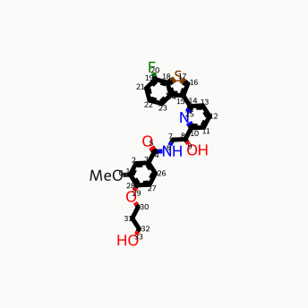 COc1cc(C(=O)NCC(O)c2cccc(-c3csc4c(F)cccc34)n2)ccc1OCCCO